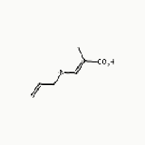 C=CC[N]C=C(C)C(=O)O